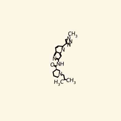 CC(C)CN1CCC[C@@H](C(=O)Nc2cc3nc(-c4cn(C)nn4)ccc3cn2)C1